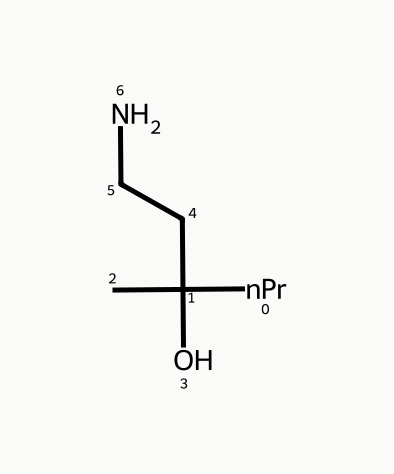 CCCC(C)(O)CCN